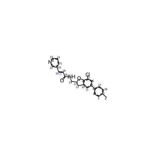 Cc1ccc(-c2cc(Cl)c3c(c2)CC(CNC(=O)/C=C/c2cccnc2)O3)cc1